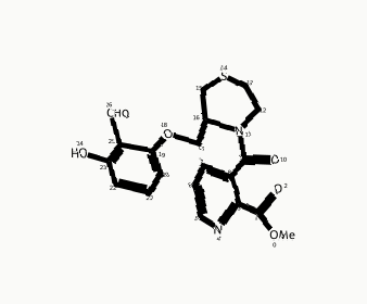 COC(=O)c1ncccc1C(=O)N1CCSCC1COc1cccc(O)c1C=O